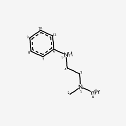 CCCN(C)CCNc1ccccc1